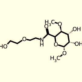 CO[C@@H]1OC(C(=O)NCCOCCO)[C@@H](OC)[C@H](O)[C@@H]1O